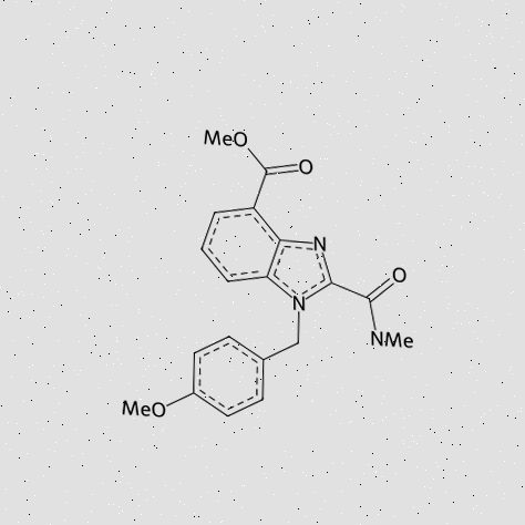 CNC(=O)c1nc2c(C(=O)OC)cccc2n1Cc1ccc(OC)cc1